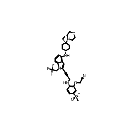 CC[C@]1(N2CCOCC2)CC[C@H](Nc2cccc3c2cc(C#CCNc2ccc(S(C)(=O)=O)cc2OCC#N)n3CC(F)(F)F)CC1